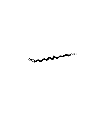 CCCCC=CCCCCCCCCCCC=C=O